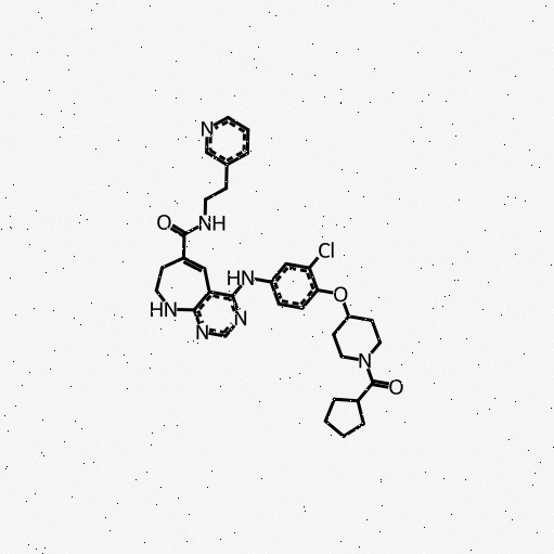 O=C(NCCc1cccnc1)C1=Cc2c(ncnc2Nc2ccc(OC3CCN(C(=O)C4CCCC4)CC3)c(Cl)c2)NCC1